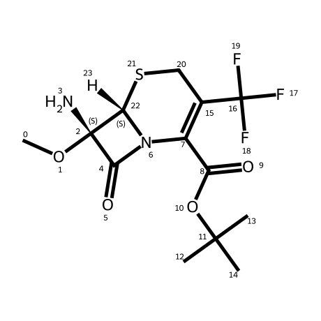 CO[C@@]1(N)C(=O)N2C(C(=O)OC(C)(C)C)=C(C(F)(F)F)CS[C@H]21